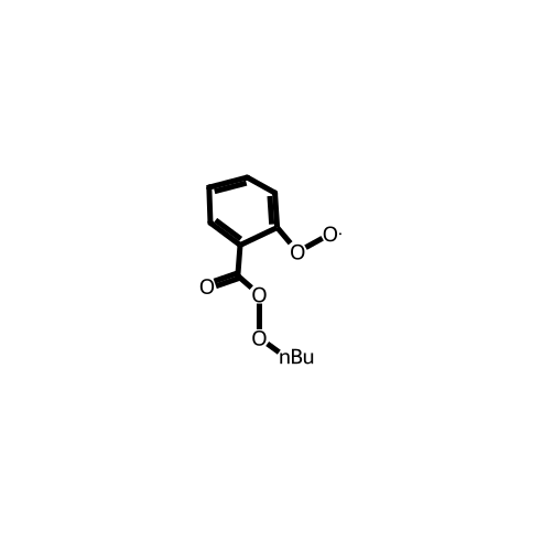 CCCCOOC(=O)c1ccccc1O[O]